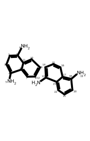 Nc1ccc(N)c2ccccc12.Nc1cccc2c(N)cccc12